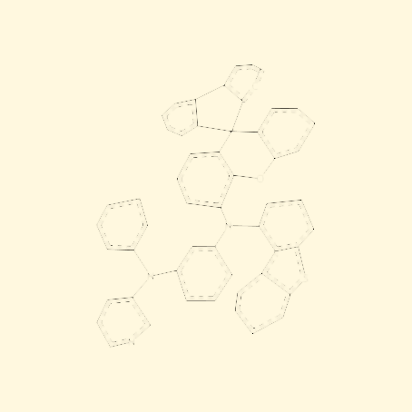 c1ccc(N(c2cccnc2)c2cccc(N(c3cccc4c3Oc3ccccc3C43c4ccccc4-c4ccccc43)c3cccc4sc5ccccc5c34)c2)cc1